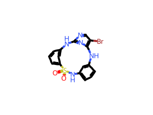 O=S1(=O)Nc2cccc(c2)Nc2nc(ncc2Br)Nc2cccc1c2